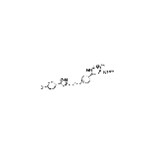 CNC(=O)CC(NC(=O)O)C1CCN(CCCc2cc(-c3ccc(Cl)cc3)on2)CC1